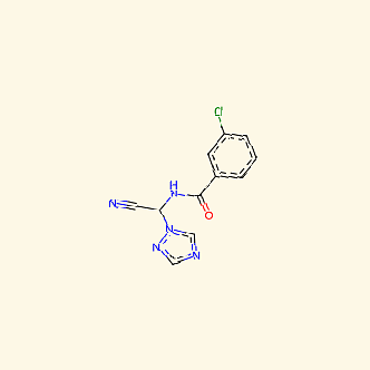 N#CC(NC(=O)c1cccc(Cl)c1)n1cncn1